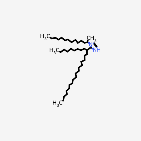 CCCCCCCCCCCCCCCCCCC(CCCCCCCCC)c1[nH]cc[n+]1C(C)CCCCCCCCCCCC